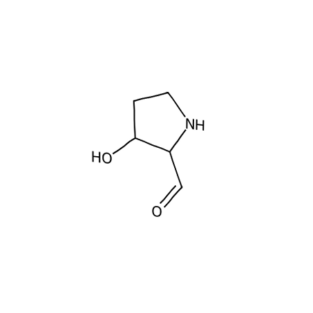 O=CC1NCCC1O